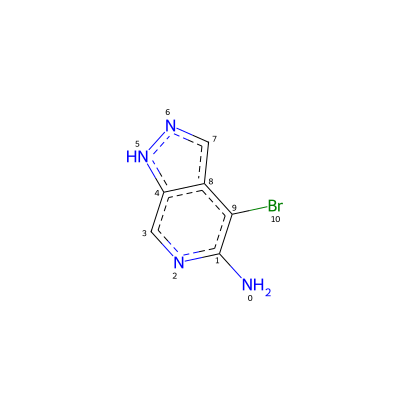 Nc1ncc2[nH]ncc2c1Br